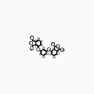 O=C1OC(=O)c2c(Oc3cccc(OC4=CC=CC5C(=O)OC(=O)C45)c3)cccc21